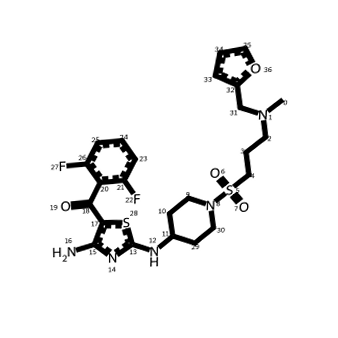 CN(CCCS(=O)(=O)N1CCC(Nc2nc(N)c(C(=O)c3c(F)cccc3F)s2)CC1)Cc1ccco1